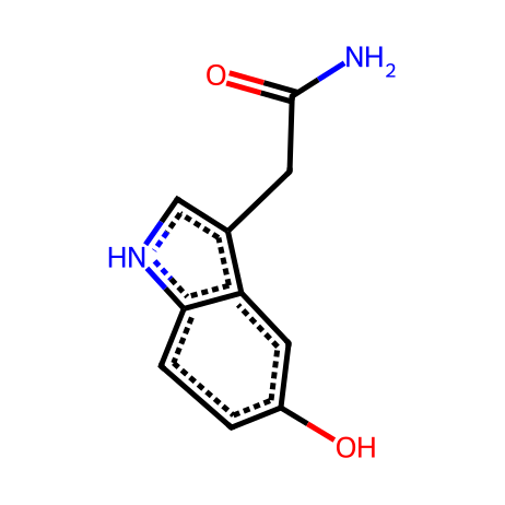 NC(=O)Cc1c[nH]c2ccc(O)cc12